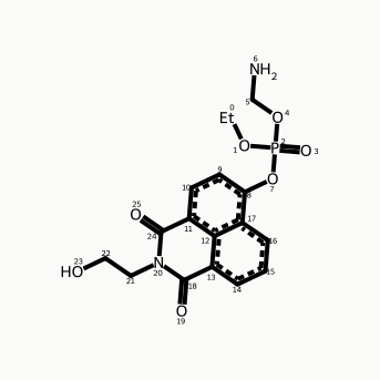 CCOP(=O)(OCN)Oc1ccc2c3c(cccc13)C(=O)N(CCO)C2=O